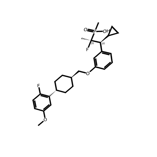 COc1ccc(F)c([C@H]2CC[C@H](COc3cccc([C@H](C4CC4)[C@@](C)(F)P(C)(=O)O)c3)CC2)c1